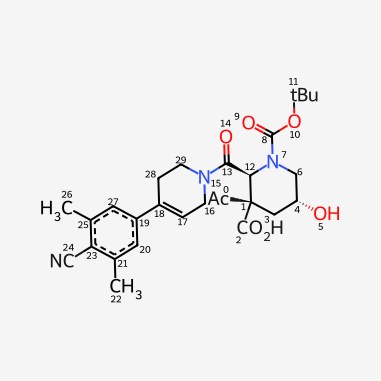 CC(=O)[C@]1(C(=O)O)C[C@@H](O)CN(C(=O)OC(C)(C)C)[C@@H]1C(=O)N1CC=C(c2cc(C)c(C#N)c(C)c2)CC1